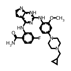 COc1cc(N2CCN(CC3CC3)CC2)ccc1Nc1nc(Nc2cc(F)ccc2C(N)=O)c2ccnc-2[nH]1